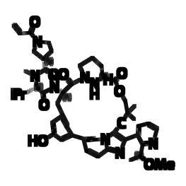 C=CC(=O)N1CC[C@H](C(=O)N(C)[C@H](C(=O)N[C@H]2Cc3cc(O)cc(c3)-c3ccc4nc(-c5cccnc5[C@H](C)OC)c(n4c3)CC(C)(C)COC(=O)[C@@H]3CCCN(N3)C2=O)C(C)C)C1